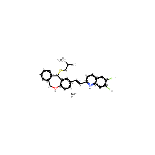 CCC(CSC1c2ccccc2COc2ccc(/C=C/c3ccc4cc(F)c(F)cc4n3)cc21)C(=O)[O-].[Na+]